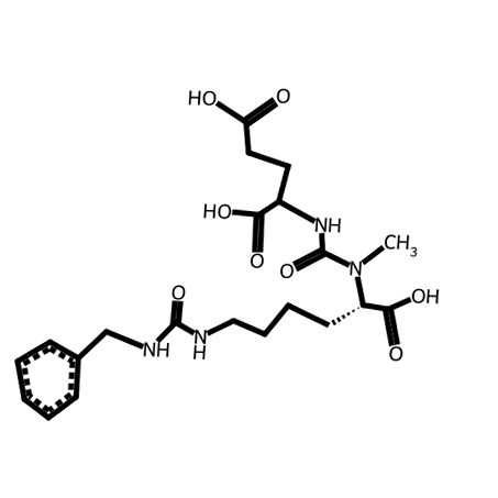 CN(C(=O)NC(CCC(=O)O)C(=O)O)[C@@H](CCCCNC(=O)NCc1ccccc1)C(=O)O